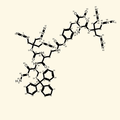 [N-]=[N+]=NCC(CN=[N+]=[N-])(CN=[N+]=[N-])OC(=O)NC(CCNC(=O)Oc1ccc(C[C@@H](C(=O)N=O)N(N)C(=O)OC(CN=[N+]=[N-])(CN=[N+]=[N-])CN=[N+]=[N-])cc1)C(=O)N[C@@H](CSC(c1ccccc1)(c1ccccc1)c1ccccc1)C(=O)N=NN